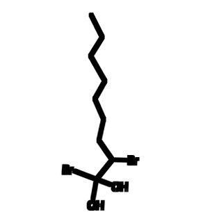 CCCCCCCC(Br)C(O)(O)Br